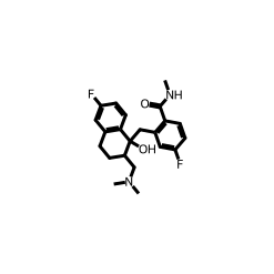 CNC(=O)c1ccc(F)cc1CC1(O)c2ccc(F)cc2CCC1CN(C)C